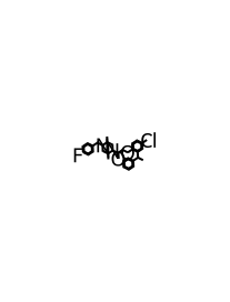 CC(c1ccccc1)c1cc(Cl)ccc1OCC(=O)N1CC(C)N(Cc2ccc(F)cc2)CC1C